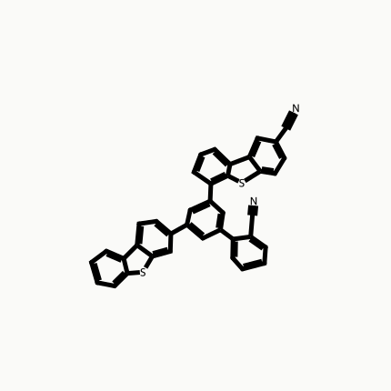 N#Cc1ccc2sc3c(-c4cc(-c5ccc6c(c5)sc5ccccc56)cc(-c5ccccc5C#N)c4)cccc3c2c1